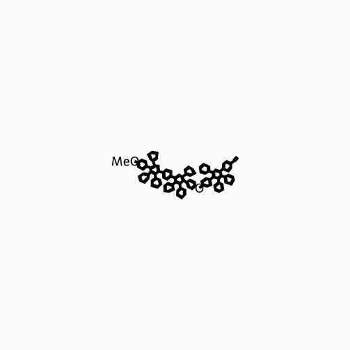 C#Cc1ccc(-c2cc(-c3ccccc3)c(-c3ccc(Oc4ccc(-c5c(-c6ccccc6)cc(-c6ccc(-c7cc(-c8ccccc8)c(-c8ccc(OC)cc8)c(-c8ccccc8)c7-c7ccccc7)cc6)c(-c6ccccc6)c5-c5ccccc5)cc4)cc3)c(-c3ccccc3)c2-c2ccccc2)cc1